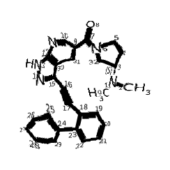 CN(C)[C@H]1CCN(C(=O)c2cnc3[nH]nc(C#Cc4ccccc4-c4ccccc4)c3c2)C1